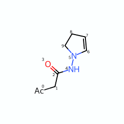 CC(=O)CC(=O)NN1C=CCC1